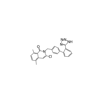 Cc1ccc(C)c2c(=O)n(Cc3ccc(-c4ccccc4-c4nnn[nH]4)cc3)c(Cl)cc12